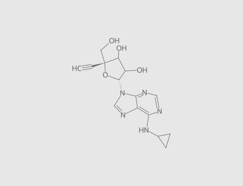 C#C[C@]1(CO)O[C@@H](n2cnc3c(NC4CC4)ncnc32)C(O)C1O